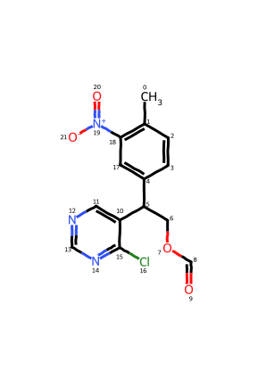 Cc1ccc(C(COC=O)c2cncnc2Cl)cc1[N+](=O)[O-]